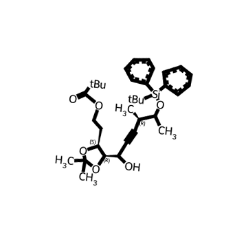 CC(O[Si](c1ccccc1)(c1ccccc1)C(C)(C)C)[C@H](C)C#CC(O)[C@H]1OC(C)(C)O[C@H]1CCOC(=O)C(C)(C)C